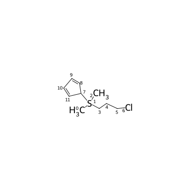 CS(C)(CCCCl)C1C=CC=C1